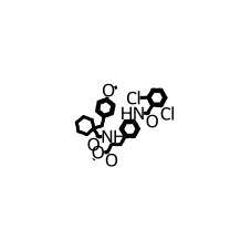 COC(=O)C(Cc1ccc(NC(=O)c2c(Cl)cccc2Cl)cc1)NC(=O)C1(Cc2ccc(OC)cc2)CCCCC1